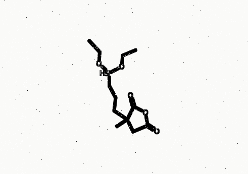 CCO[SiH](CCCC1(C)CC(=O)OC1=O)OCC